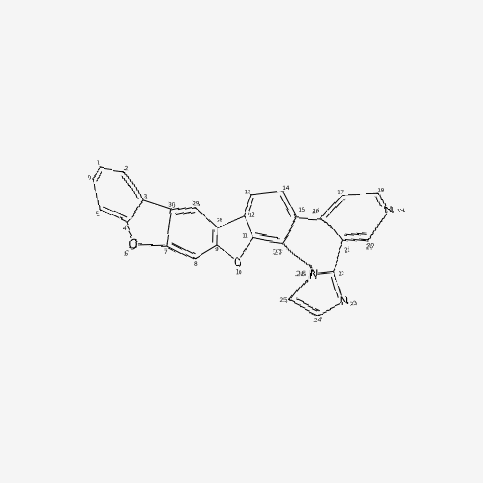 c1ccc2c(c1)oc1cc3oc4c(ccc5c6ccncc6c6nccn6c54)c3cc12